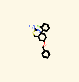 NC1=NC2(c3ccccc3F)CCC(OCc3ccccc3)CC2CS1